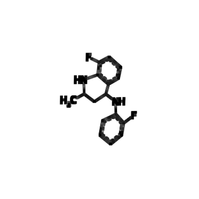 CC1CC(Nc2ccccc2F)c2cccc(F)c2N1